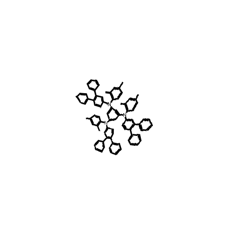 Cc1ccc(N(c2cc(N(c3ccc(-c4ccccc4)c(-c4ccccc4)c3)c3ccc(C)cc3C)cc(N(c3ccc(-c4ccccc4)c(-c4ccccc4)c3)c3ccc(C)cc3C)c2)c2ccc(-c3ccccc3)c(-c3ccccc3)c2)c(C)c1